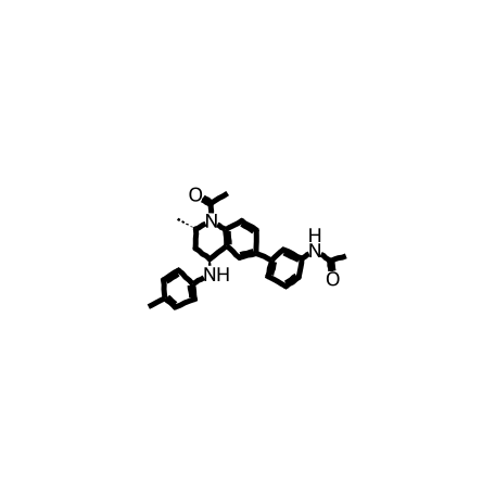 CC(=O)Nc1cccc(-c2ccc3c(c2)[C@H](Nc2ccc(C)cc2)C[C@H](C)N3C(C)=O)c1